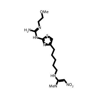 CNC(=C[N+](=O)[O-])NCCCCCc1csc(NC(N)=NCCOC)n1